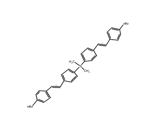 CCCCc1ccc(/C=C/c2ccc([Si](C)(C)c3ccc(/C=C/c4ccc(CCCC)cc4)cc3)cc2)cc1